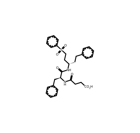 O=C(O)CCC(=O)N[C@@H](Cc1ccccc1)C(=O)N[C@@H](CCc1ccccc1)CCS(=O)(=O)c1ccccc1